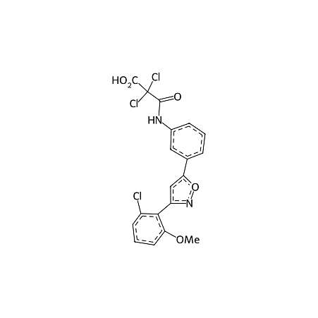 COc1cccc(Cl)c1-c1cc(-c2cccc(NC(=O)C(Cl)(Cl)C(=O)O)c2)on1